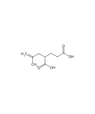 C=C(C)CC(CCC(=O)O)C(=O)O